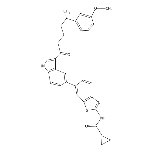 COc1cccc([C@@H](C)CCCC(=O)c2c[nH]c3ccc(-c4ccc5nc(NC(=O)C6CC6)sc5c4)cc23)c1